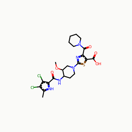 COC1CN(c2nc(C(=O)N3CCCCC3)c(C(=O)O)s2)CCC1NC(=O)c1[nH]c(C)c(Cl)c1Cl